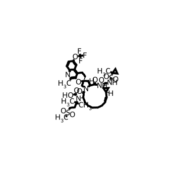 Cc1nc2ccc(OC(F)(F)F)cc2c2c1O[C@]1(CC2)C[C@H]2C(=O)N[C@]3(C(=O)NS(=O)(=O)C4(C)CC4)C[C@H]3/C=C\CCCCC[C@H](N(C(=O)O)C(C)(C)CCS(C)(=O)=O)C(=O)N2C1